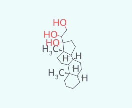 C[C@]12CCCC[C@@H]1CC[C@@H]1[C@@H]2CC[C@@]2(C)[C@H]1CC[C@]2(O)C(O)CO